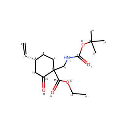 C=C[C@@H]1CCC(CNC(=O)OC(C)(C)C)(C(=O)OCC)C(=O)C1